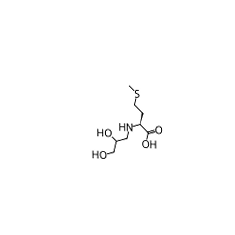 CSCC[C@H](NCC(O)CO)C(=O)O